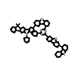 CC1(C)c2ccccc2-c2cc3c(cc21)c1cc(-c2ccc4oc5cccc(-c6nc(-c7ccccc7)nc(-c7ccc8c(c7)oc7cc(-c9cccc%10sc%11ccccc%11c9%10)ccc78)n6)c5c4c2)ccc1n3-c1ccccc1